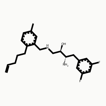 C=CCCCc1ccc(C)cc1CNC[C@@H](O)[C@@H](N)Cc1cc(F)cc(F)c1